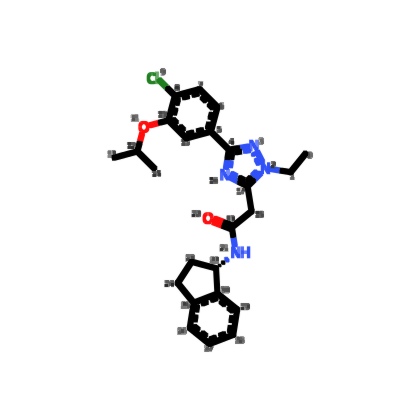 CCn1nc(-c2ccc(Cl)c(OC(C)C)c2)nc1CC(=O)N[C@H]1CCc2ccccc21